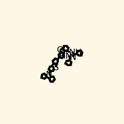 c1ccc(C2=NC(c3ccccc3)NC(c3cccc4oc5cc(-c6ccc7c(c6)sc6cc(-n8c9ccccc9c9ccccc98)ccc67)ccc5c34)N2)cc1